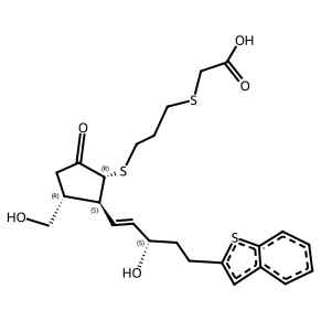 O=C(O)CSCCCS[C@H]1C(=O)C[C@@H](CO)[C@@H]1C=C[C@@H](O)CCc1cc2ccccc2s1